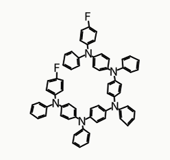 Fc1ccc(N(c2ccccc2)c2ccc(N(c3ccccc3)c3ccc(N(c4ccccc4)c4ccc(N(c5ccccc5)c5ccc(N(c6ccccc6)c6ccc(F)cc6)cc5)cc4)cc3)cc2)cc1